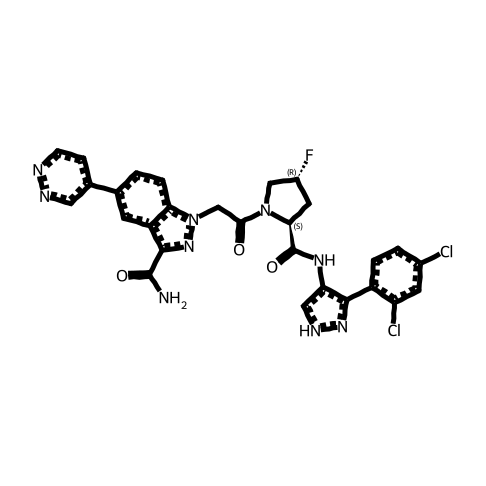 NC(=O)c1nn(CC(=O)N2C[C@H](F)C[C@H]2C(=O)Nc2c[nH]nc2-c2ccc(Cl)cc2Cl)c2ccc(-c3ccnnc3)cc12